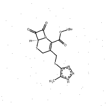 Cc1[nH]nnc1SCC1=C(C(=O)OC(C)(C)C)N2C(=O)C(=O)[C@@H]2SC1